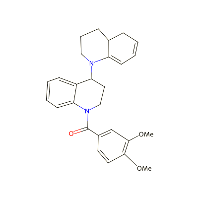 COc1ccc(C(=O)N2CCC(N3CCCC4CC=CC=C43)c3ccccc32)cc1OC